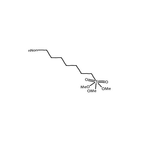 CCCCCCCCCCCCCCC[CH2][Ti](=[O])(=[O])([O]C)([O]C)[O]C